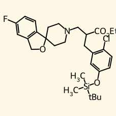 CCOC(=O)C(Cc1cc(O[Si](C)(C)C(C)(C)C)ccc1Cl)CN1CCC2(CC1)OCc1cc(F)ccc12